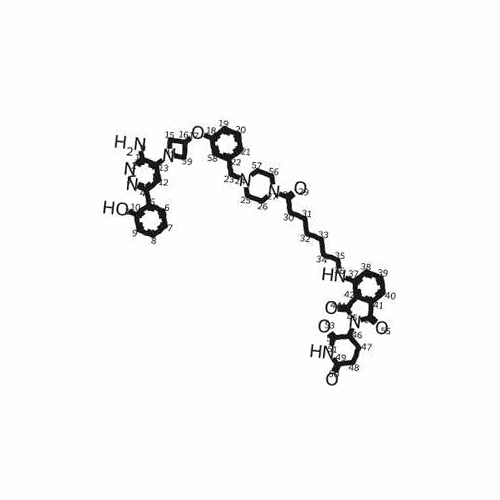 Nc1nnc(-c2ccccc2O)cc1N1CC(Oc2cccc(CN3CCN(C(=O)CCCCCCNc4cccc5c4C(=O)N(C4CCC(=O)NC4=O)C5=O)CC3)c2)C1